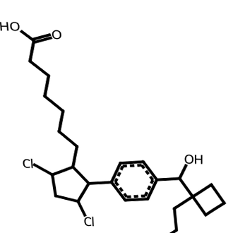 CCCC1(C(O)c2ccc(C3C(Cl)CC(Cl)C3CCCCCCC(=O)O)cc2)CCC1